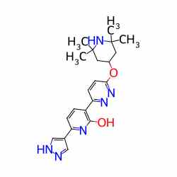 CC1(C)CC(Oc2ccc(-c3ccc(-c4cn[nH]c4)nc3O)nn2)CC(C)(C)N1